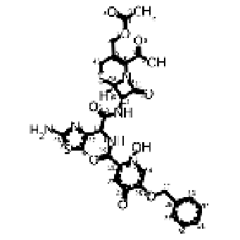 CC(=O)OCC1=C(C(=O)O)N2C(=O)[C@@H](NC(=O)C(NC(=O)c3cc(=O)c(OCc4ccccc4)cn3O)c3csc(N)n3)[C@H]2SC1